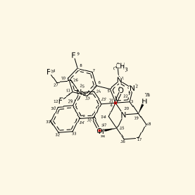 Cn1nc2c(c1-c1cc(F)cc(F)c1)C[C@H]1CCC[C@@H]2N1C(=O)c1cn(CCF)c2ccccc2c1=O